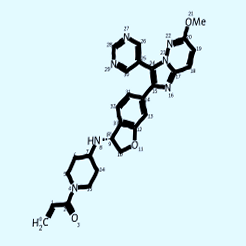 C=CC(=O)N1CCC(N[C@H]2COc3cc(-c4nc5ccc(OC)nn5c4-c4cncnc4)ccc32)CC1